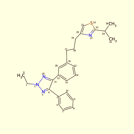 CCn1nc(-c2ccccc2)c(-c2cccc(CCCc3csc(C(C)C)n3)c2)n1